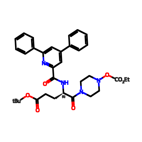 CCOC(=O)ON1CCN(C(=O)[C@H](CCC(=O)OC(C)(C)C)NC(=O)c2cc(-c3ccccc3)cc(-c3ccccc3)n2)CC1